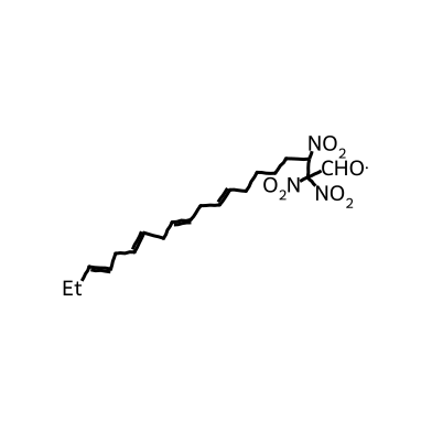 CC/C=C/C/C=C/C/C=C/C/C=C/CCCCC([N+](=O)[O-])C([C]=O)([N+](=O)[O-])[N+](=O)[O-]